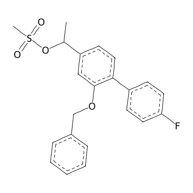 CC(OS(C)(=O)=O)c1ccc(-c2ccc(F)cc2)c(OCc2ccccc2)c1